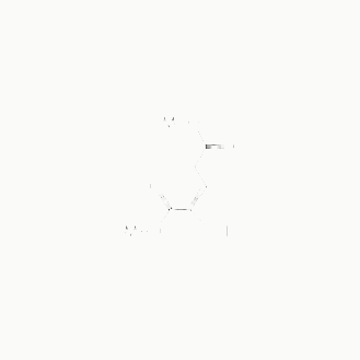 COC(=O)CC=C(C)C(=O)OC